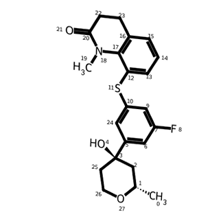 C[C@H]1C[C@@](O)(c2cc(F)cc(Sc3cccc4c3N(C)C(=O)CC4)c2)CCO1